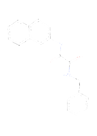 O=C(NCc1ccccc1)C(=O)Nc1ccc2ccccc2c1